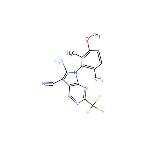 COc1ccc(C)c(-n2c(N)c(C#N)c3cnc(C(F)(F)F)nc32)c1C